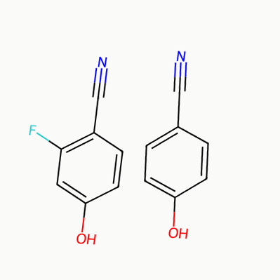 N#Cc1ccc(O)cc1.N#Cc1ccc(O)cc1F